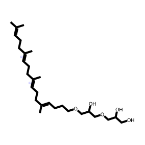 CC(C)=CCC/C(C)=C/CC/C(C)=C/CCC(C)=CCCCOCC(O)COCC(O)CO